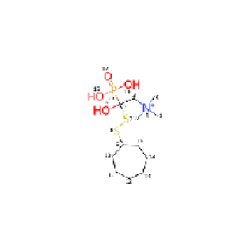 C[N+](C)(C)CC(O)(SSC1CCCCCC1)P(=O)(O)O